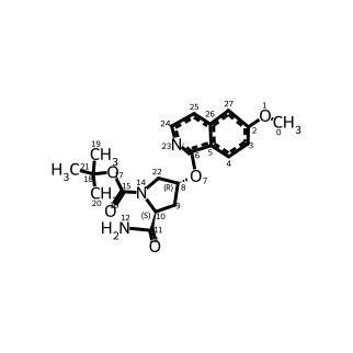 COc1ccc2c(O[C@@H]3C[C@@H](C(N)=O)N(C(=O)OC(C)(C)C)C3)nccc2c1